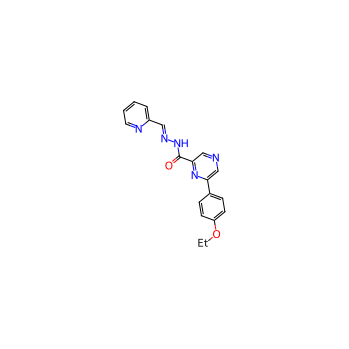 CCOc1ccc(-c2cncc(C(=O)NN=Cc3ccccn3)n2)cc1